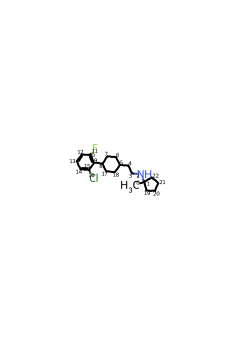 CC1(NCCC2CCC(c3c(F)cccc3Cl)CC2)CCCC1